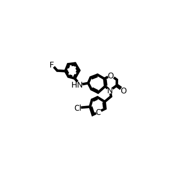 O=C1COC2=C(C=CC(Nc3cccc(CF)c3)C=C2)N1CC1=CCC=C(Cl)C=C1